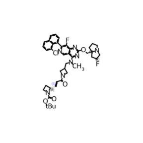 CN(CC1CN(C(=O)/C=C/[C@H]2CCN2C(=O)OC(C)(C)C)C1)c1nc(OC[C@@]23CCCN2C[C@H](F)C3)nc2c(F)c(-c3cccc4cccc(Cl)c34)ncc12